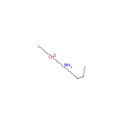 CCCCC/C=C\C/C=C\CCCCCCCCC(N)CCCCCCCC(=O)OCCCCCCCCC